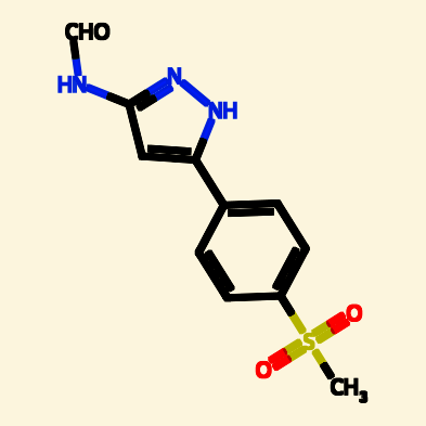 CS(=O)(=O)c1ccc(-c2cc(NC=O)n[nH]2)cc1